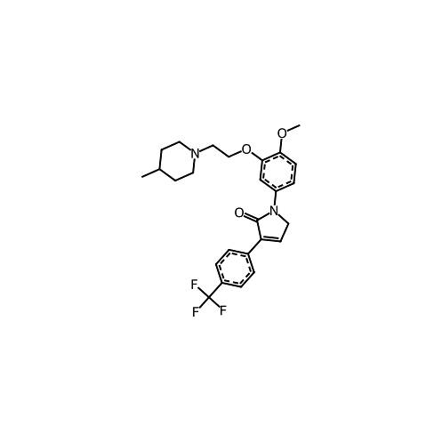 COc1ccc(N2CC=C(c3ccc(C(F)(F)F)cc3)C2=O)cc1OCCN1CCC(C)CC1